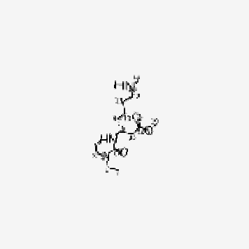 CCN(CC)C(=O)N[C@H](CCCCNC)CC(=O)OC